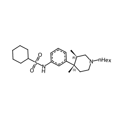 CCCCCCN1CC[C@](C)(c2cccc(NS(=O)(=O)C3CCCCC3)c2)[C@@H](C)C1